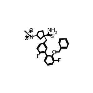 CS(=O)(=O)N[C@H]1CC[C@](Cc2ccc(F)c(-c3cccc(F)c3OCc3ccccc3)c2)(C(N)=S)C1